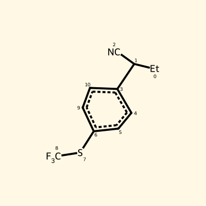 CCC(C#N)c1ccc(SC(F)(F)F)cc1